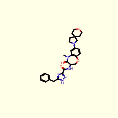 CN1C(=O)C(NC(=O)c2n[nH]c(Cc3ccccc3)n2)COc2ccc(N3CCC4(CCOCC4)C3)cc21